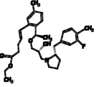 CCOC(=O)CC/C=C/c1cc(C)ccc1[C@@H](C)OC[C@H](O)CN1CCC[C@H]1Cc1ccc(C)c(F)c1